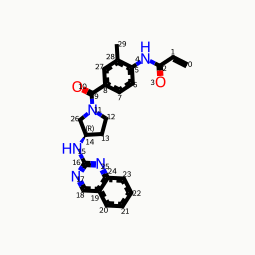 C=CC(=O)Nc1ccc(C(=O)N2CC[C@@H](Nc3ncc4ccccc4n3)C2)cc1C